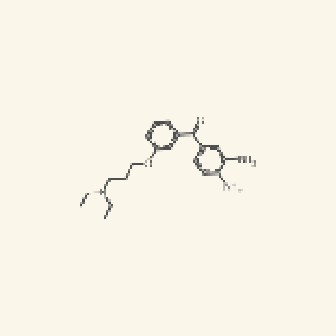 CCN(CC)CCCOc1cccc(C(=O)c2ccc(N)c(N)c2)c1